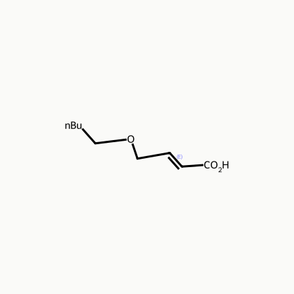 CCCCCOC/C=C/C(=O)O